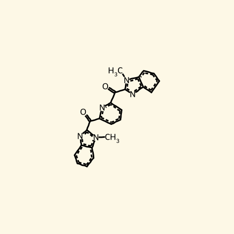 Cn1c(C(=O)c2cccc(C(=O)c3nc4ccccc4n3C)n2)nc2ccccc21